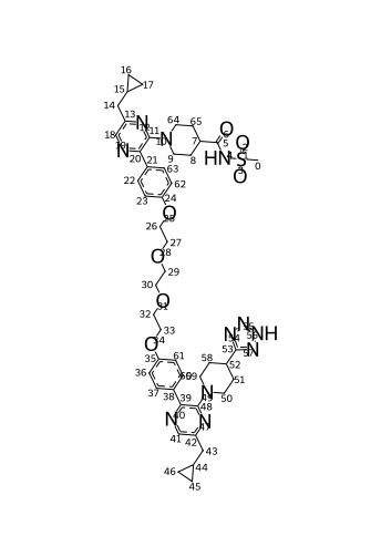 CS(=O)(=O)NC(=O)C1CCN(c2nc(CC3CC3)cnc2-c2ccc(OCCOCCOCCOc3ccc(-c4ncc(CC5CC5)nc4N4CCC(c5nn[nH]n5)CC4)cc3)cc2)CC1